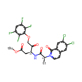 CC[C@@H](C(=O)N[C@@H](CC(=O)OC(C)(C)C)C(=O)COc1c(F)c(F)cc(F)c1F)n1ccc2cc(Cl)c(Cl)cc2c1=O